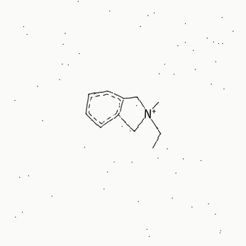 CC[N+]1(C)Cc2ccccc2C1